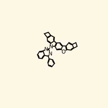 c1ccc(-c2nc(-n3c4cc5c(cc4c4cc6c(cc43)oc3cc4c(cc36)CC4)CC5)nc3ccccc23)cc1